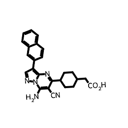 N#Cc1c(C2CCC(CC(=O)O)CC2)nc2c(-c3ccc4ccccc4c3)cnn2c1N